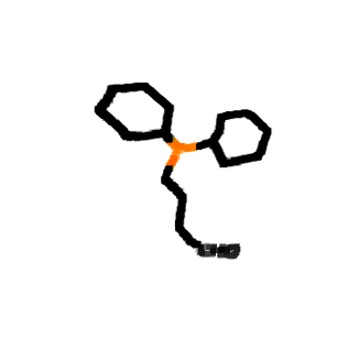 O=CCCCP(C1CCCCC1)C1CCCCC1